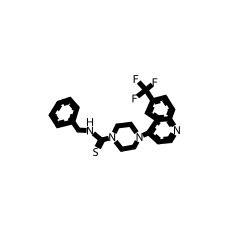 FC(F)(F)c1ccc2nccc(N3CCN(C(=S)NCc4ccccc4)CC3)c2c1